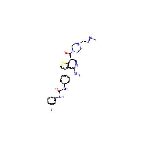 Cc1cccc(NC(=O)Nc2ccc(-c3csc4c(C(=O)N5CCN(CCN(C)C)CC5)cnc(N)c34)cc2)c1